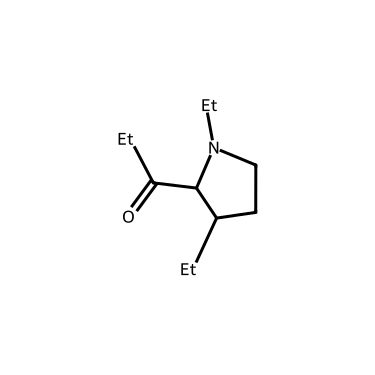 CCC(=O)C1C(CC)CCN1CC